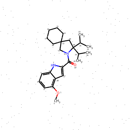 COc1cccc2[nH]c(C(=O)N3CC4(CCCCC4)CC3(C(C)C)C(C)C)cc12